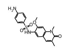 COc1cc2c(cc1NS(=O)(=O)c1ccc(N)cc1)cc(C)c(=O)n2C